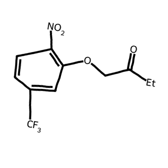 CCC(=O)COc1cc(C(F)(F)F)ccc1[N+](=O)[O-]